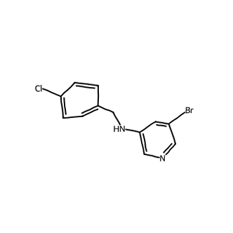 Clc1ccc(CNc2cncc(Br)c2)cc1